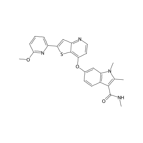 CNC(=O)c1c(C)n(C)c2cc(Oc3ccnc4cc(-c5cccc(OC)n5)sc34)ccc12